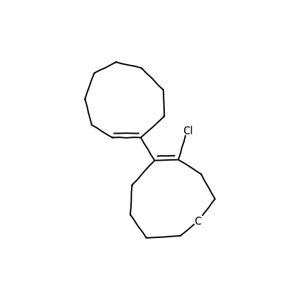 ClC1=C(C2=CCCCCCCC2)CCCCCCC1